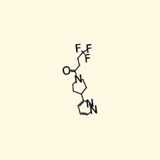 O=C(CCC(F)(F)F)N1CCC(c2cccnn2)CC1